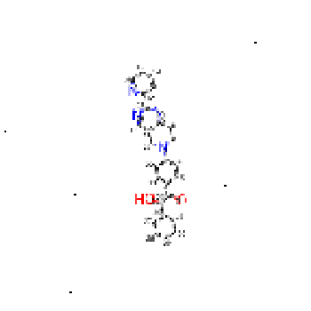 O=C(c1ccc(N2CCc3nc(-c4ccccn4)ncc3C2)cc1)C(O)c1ccccc1